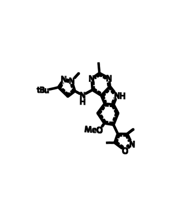 COc1cc2c(cc1-c1c(C)noc1C)[nH]c1nc(C)nc(Nc3cc(C(C)(C)C)nn3C)c12